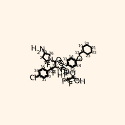 N[C@H]1CCN(C(=O)C(NS(=O)(=O)c2ccc(OCC3CCCCC3)cc2)C(F)(F)c2ccc(Cl)cc2)C1.O=C(O)C(F)(F)F